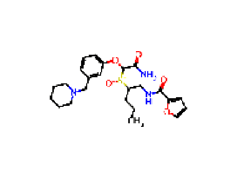 CCCC(CNC(=O)c1ccco1)[S+]([O-])C(Oc1cccc(CN2CCCCC2)c1)C(N)=O